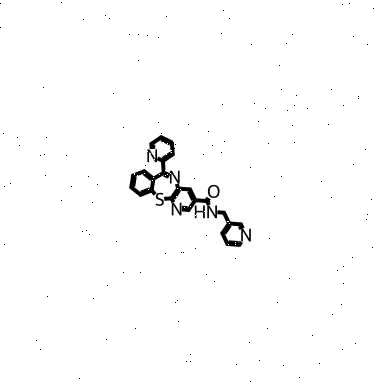 O=C(NCc1cccnc1)c1cnc2c(c1)N=C(c1ccccn1)c1ccccc1S2